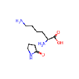 NCCCCC(N)C(=O)O.O=C1CCCN1